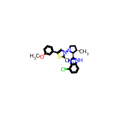 COc1cccc(C2=[C]N(N3CC[C@H](C)[C@H]3c3nc4c(Cl)cccc4[nH]3)C(C)S2)c1